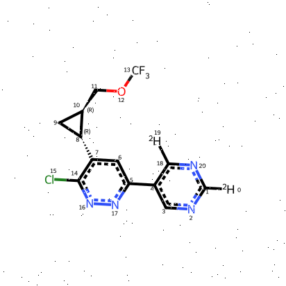 [2H]c1ncc(-c2cc([C@@H]3C[C@H]3COC(F)(F)F)c(Cl)nn2)c([2H])n1